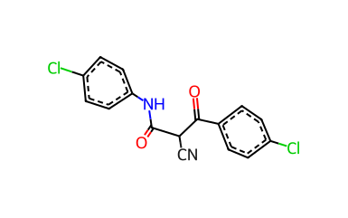 N#CC(C(=O)Nc1ccc(Cl)cc1)C(=O)c1ccc(Cl)cc1